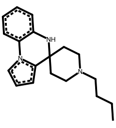 CCCCN1CCC2(CC1)Nc1ccccc1-n1cccc12